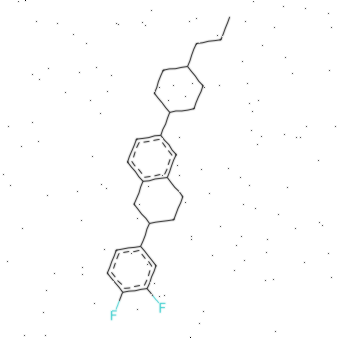 CCCC1CCC(c2ccc3c(c2)CCC(c2ccc(F)c(F)c2)C3)CC1